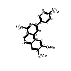 COc1cc2ncc3c(N)nc(-c4ccc(N)nc4)cc3c2cc1OC